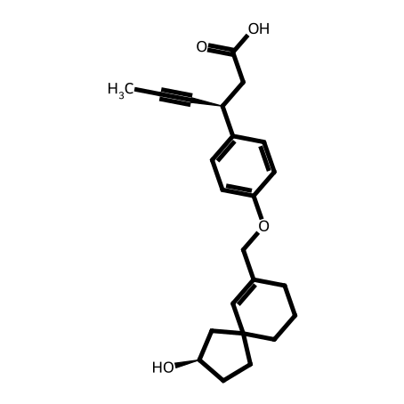 CC#C[C@@H](CC(=O)O)c1ccc(OCC2=CC3(CCC2)CC[C@@H](O)C3)cc1